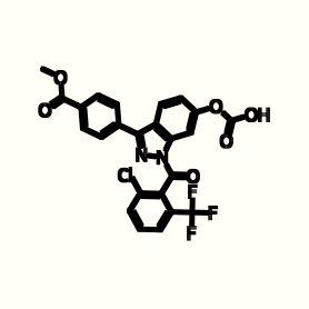 COC(=O)c1ccc(-c2nn(C(=O)c3c(Cl)cccc3C(F)(F)F)c3cc(OC(=O)O)ccc23)cc1